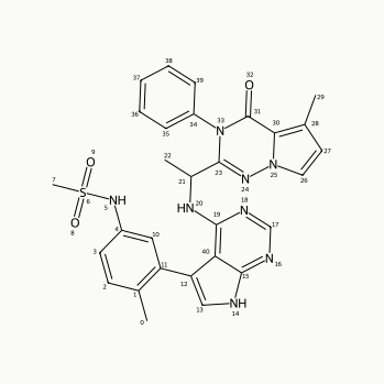 Cc1ccc(NS(C)(=O)=O)cc1-c1c[nH]c2ncnc(NC(C)c3nn4ccc(C)c4c(=O)n3-c3ccccc3)c12